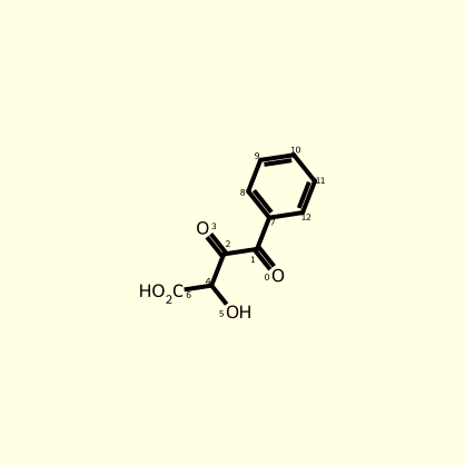 O=C(C(=O)C(O)C(=O)O)c1ccccc1